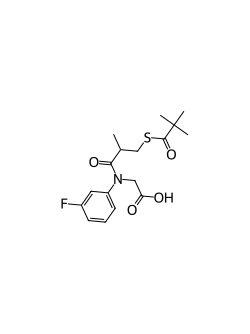 CC(CSC(=O)C(C)(C)C)C(=O)N(CC(=O)O)c1cccc(F)c1